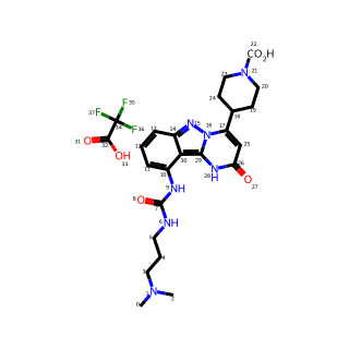 CN(C)CCCNC(=O)Nc1cccc2nn3c(C4CCN(C(=O)O)CC4)cc(=O)[nH]c3c12.O=C(O)C(F)(F)F